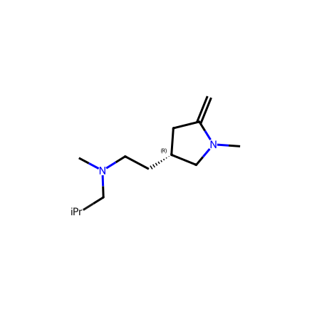 C=C1C[C@@H](CCN(C)CC(C)C)CN1C